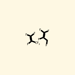 FC(F)=C(F)C(F)(F)F.FCC(F)=C(F)F